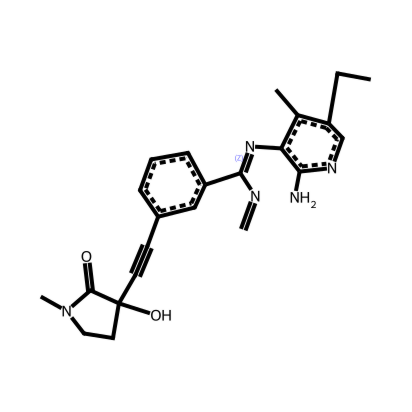 C=N/C(=N\c1c(N)ncc(CC)c1C)c1cccc(C#CC2(O)CCN(C)C2=O)c1